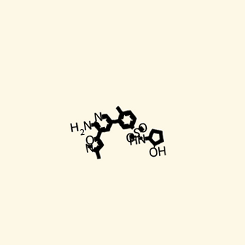 Cc1cc(-c2cc(-c3cc(S(=O)(=O)NC4CCC[C@@H]4O)ccc3C)cnc2N)on1